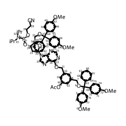 COc1ccc(C(OCc2cc(COc3ncnc4c3ncn4[C@H]3C[C@H](OP(OCCC#N)N(C(C)C)C(C)C)[C@@H](COC(c4ccccc4)(c4ccc(OC)cc4)c4ccc(OC)cc4)O3)cc(OC(C)=O)c2)(c2ccccc2)c2ccc(OC)cc2)cc1